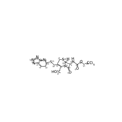 O=C(NC1C(=O)N2C(C(=O)O)=C(CSc3ccc4nnnn4n3)CS[C@@H]12)OCC(Cl)(Cl)Cl